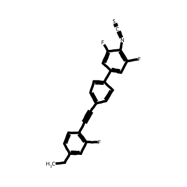 CCc1ccc(C#Cc2ccc(-c3cc(F)c(N=C=S)c(F)c3)cc2)c(F)c1